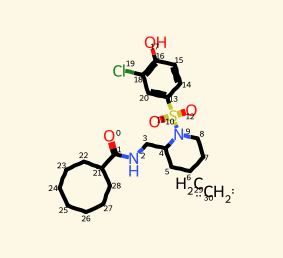 O=C(NCC1CCCCN1S(=O)(=O)c1ccc(O)c(Cl)c1)[C]1CCCCCCC1.[CH2].[CH2]